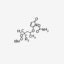 CC(CC(C)(C)OOC(C)(C)C)OC1=[N+](OC(N)=O)C(=O)C=C1